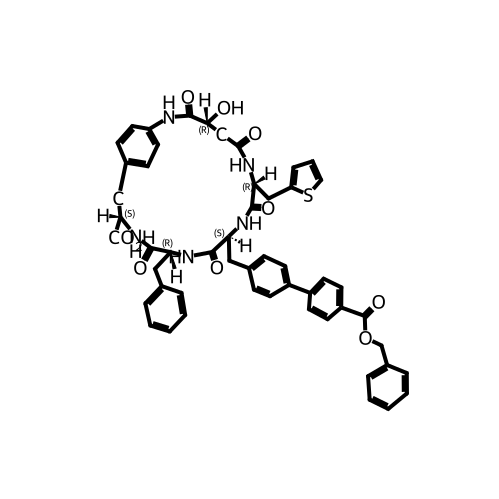 O=C1C[C@@H](O)C(=O)Nc2ccc(cc2)C[C@@H](C(=O)O)NC(=O)[C@@H](Cc2ccccc2)NC(=O)[C@H](Cc2ccc(-c3ccc(C(=O)OCc4ccccc4)cc3)cc2)NC(=O)[C@@H](Cc2cccs2)N1